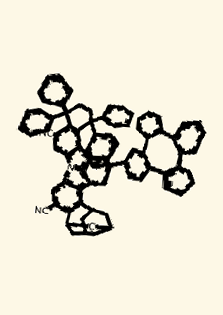 N#Cc1cc2c(c3c1C1CC4CC(C1)CC3C4)c1cc(-c3ccc4c(c3)-c3ccccc3-c3ccccc3-c3ccccc3-4)cc3c4c5c(c(C#N)cc4n2c13)C(c1ccccc1)(c1ccccc1)CCC5(c1ccccc1)c1ccccc1